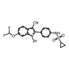 CC(C)n1c(-c2ccc(NS(=O)(=O)C3CC3)cc2)c(C#N)c2ccc(OC(F)F)cc21